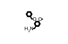 COc1ccc(CN)cc1OCc1ccccc1